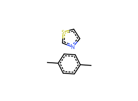 Cc1ccc(C)cc1.c1cscn1